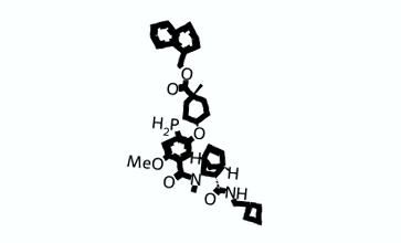 COc1cc(P)c(O[C@H]2CC[C@@](C)(C(=O)OCc3cccc4ccccc34)CC2)cc1C(=O)N(C)[C@H]1[C@@H](C(=O)NCC2(C)CCC2)[C@@H]2C=C[C@H]1C2